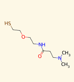 CN(C)CCC(=O)NCCOCCS